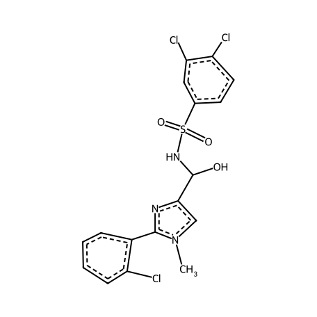 Cn1cc(C(O)NS(=O)(=O)c2ccc(Cl)c(Cl)c2)nc1-c1ccccc1Cl